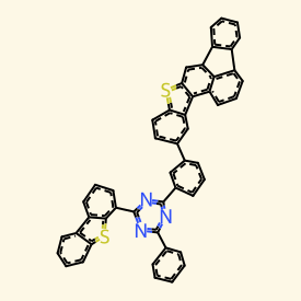 c1ccc(-c2nc(-c3cccc(-c4ccc5sc6cc7c8c(cccc8c6c5c4)-c4ccccc4-7)c3)nc(-c3cccc4c3sc3ccccc34)n2)cc1